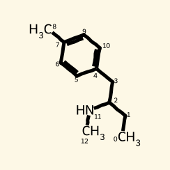 CCC(Cc1ccc(C)cc1)NC